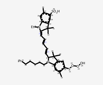 CCN1/C(=C/C=C/C=C/C2N(CCCCCC(C)C)c3cc(C)c(SOOO)cc3C2(C)C)C(C)(C)c2cc(S(=O)(=O)O)c(C)cc21